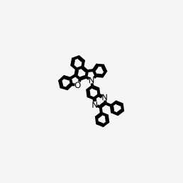 c1ccc(-c2nc3ccc(-n4c5ccccc5c5c6ccccc6c6c7ccccc7oc6c54)cc3nc2-c2ccccc2)cc1